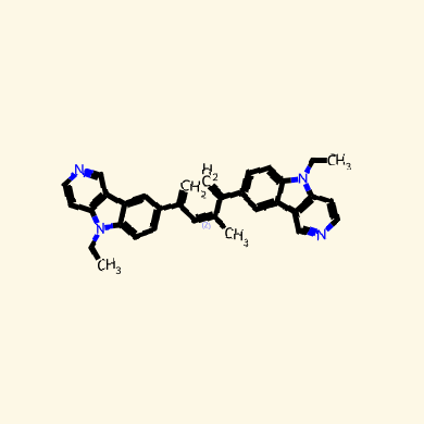 C=C(/C=C(/C)C(=C)c1ccc2c(c1)c1cnccc1n2CC)c1ccc2c(c1)c1cnccc1n2CC